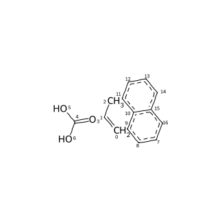 C=CC.O=C(O)O.c1ccc2ccccc2c1